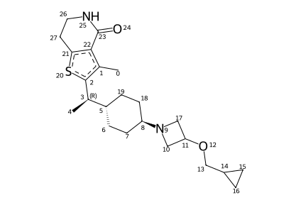 Cc1c([C@H](C)[C@H]2CC[C@H](N3CC(OCC4CC4)C3)CC2)sc2c1C(=O)NCC2